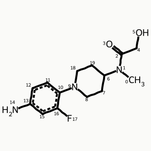 CN(C(=O)CO)C1CCN(c2ccc(N)cc2F)CC1